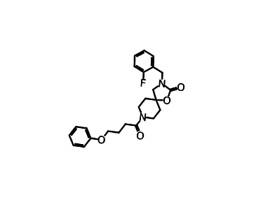 O=C(CCCOc1ccccc1)N1CCC2(CC1)CN(Cc1ccccc1F)C(=O)O2